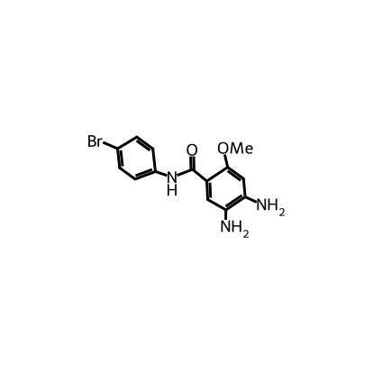 COc1cc(N)c(N)cc1C(=O)Nc1ccc(Br)cc1